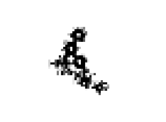 CCCCc1ncc(C(=O)NC2COC2)n1Cc1ccc(-c2cc(-c3ccccc3)ccc2-c2nn[nH]n2)cc1